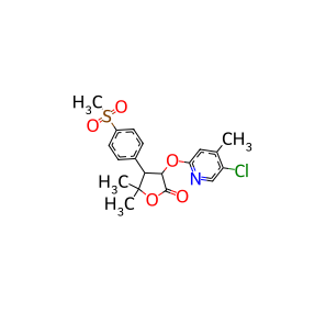 Cc1cc(OC2C(=O)OC(C)(C)C2c2ccc(S(C)(=O)=O)cc2)ncc1Cl